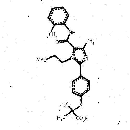 COCCn1c(-c2ccc(SC(C)(C)C(=O)O)cc2)nc(C)c1C(=O)Nc1ccccc1C